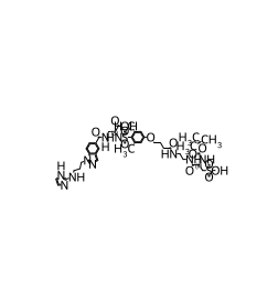 Cc1cc(OCCCC(=O)NCCNC(=O)[C@H](CS(=O)(=O)O)NC(=O)OC(C)(C)C)cc(C)c1S(=O)(=O)N[C@@H](CNC(=O)c1ccc2c(cnn2CCCNc2ncc[nH]2)c1)C(=O)O